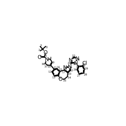 CC(C)(C)OC(=O)N1CC=C(c2ccc3c(c2)-c2nn(-c4ncnn4-c4ccccc4Cl)cc2CCO3)CC1